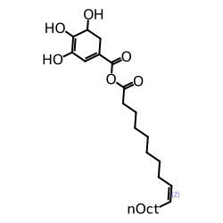 CCCCCCCC/C=C\CCCCCCCC(=O)OC(=O)C1=CC(O)=C(O)C(O)C1